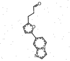 O=CCCc1ccc(-c2ccn3ccnc3c2)o1